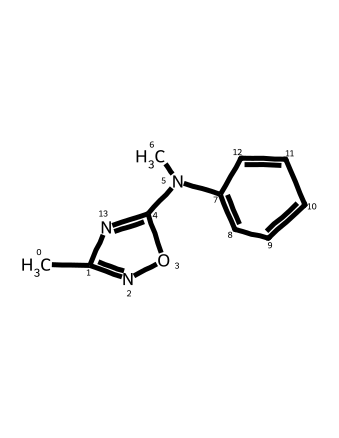 Cc1noc(N(C)c2ccccc2)n1